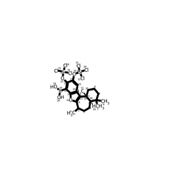 CC1CC[C@@H]2C(C)(C)CCC[C@@]2(C)c2c1oc1c(B(O)O)c(O[Si](Cl)(Cl)Cl)c(O[Si](Cl)(Cl)Cl)cc21